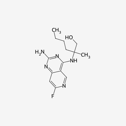 CCCCC(C)(CO)Nc1nc(N)nc2cc(F)ncc12